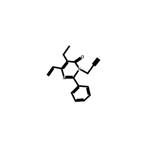 C#CCn1c(-c2ccccc2)nc(C=C)c(CC)c1=O